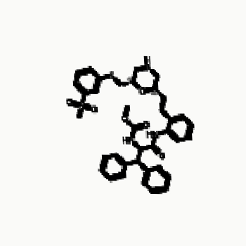 COC(=O)NC(C(=O)Nc1ccccc1CC[C@@H]1CNC[C@@H](CSc2cccc(S(C)(=O)=O)c2)O1)C(c1ccccc1)c1ccccc1